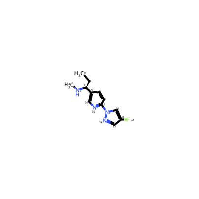 CC[C@H](NC)c1ccc(-n2cc(F)cn2)nc1